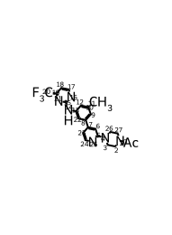 CC(=O)N1CCN(c2cc(-c3cc(C)cc(Nc4nccc(C(F)(F)F)n4)c3)ccn2)CC1